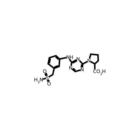 NS(=O)(=O)Cc1cccc(Nc2ncnc(N3CCCC3C(=O)O)n2)c1